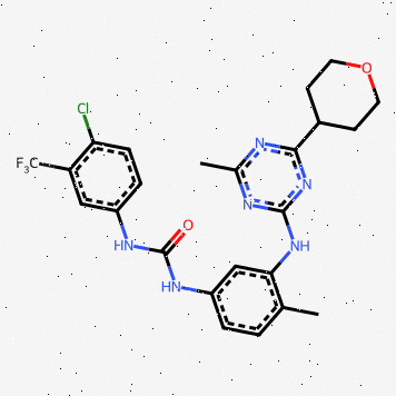 Cc1nc(Nc2cc(NC(=O)Nc3ccc(Cl)c(C(F)(F)F)c3)ccc2C)nc(C2CCOCC2)n1